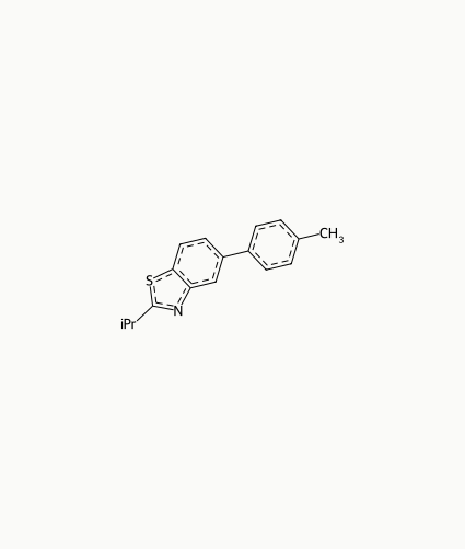 Cc1ccc(-c2ccc3sc(C(C)C)nc3c2)cc1